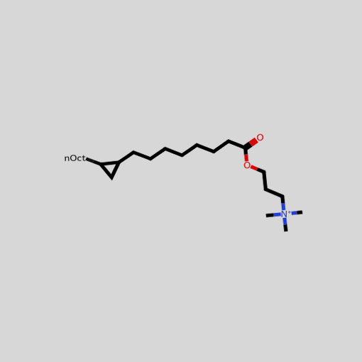 CCCCCCCCC1CC1CCCCCCCC(=O)OCCC[N+](C)(C)C